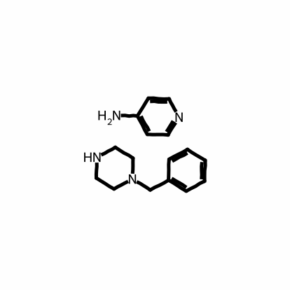 Nc1ccncc1.c1ccc(CN2CCNCC2)cc1